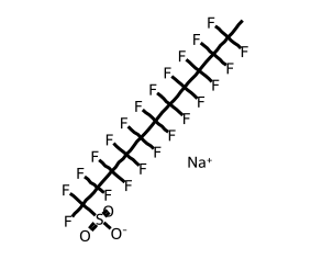 CC(F)(F)C(F)(F)C(F)(F)C(F)(F)C(F)(F)C(F)(F)C(F)(F)C(F)(F)C(F)(F)C(F)(F)C(F)(F)S(=O)(=O)[O-].[Na+]